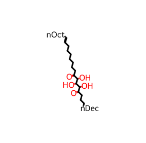 CCCCCCCCC=CCCCCCCCC(=O)C(O)C(O)C(O)C(=O)CCCCCCCCCCCCC